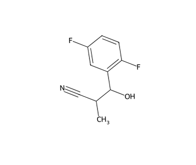 CC(C#N)C(O)c1cc(F)ccc1F